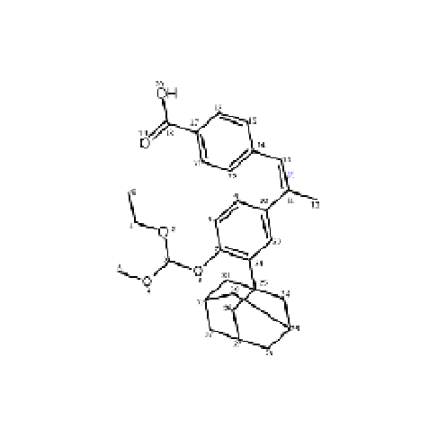 CCOC(OC)Oc1ccc(/C(C)=C\c2ccc(C(=O)O)cc2)cc1C12CC3CC(CC(C3)C1)C2